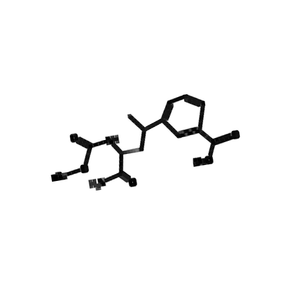 CCCCOC(=O)NC(CC(C)c1cccc(C(=O)OC)c1)C(N)=O